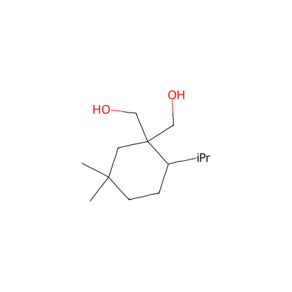 CC(C)C1CCC(C)(C)CC1(CO)CO